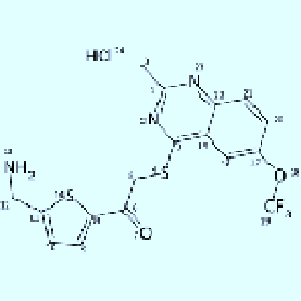 Cc1nc(SCC(=O)c2ccc(CN)s2)c2cc(OC(F)(F)F)ccc2n1.Cl